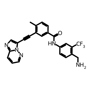 Cc1ccc(C(=O)Nc2ccc(CN)c(C(F)(F)F)c2)cc1C#Cc1cnc2cccnn12